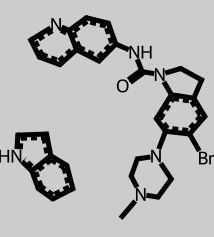 CN1CCN(c2cc3c(cc2Br)CCN3C(=O)Nc2ccc3ncccc3c2)CC1.c1ccc2[nH]ccc2c1